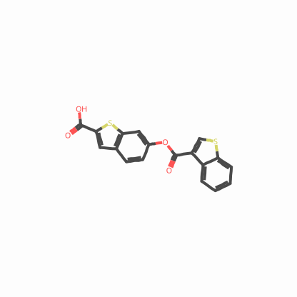 O=C(O)c1cc2ccc(OC(=O)c3csc4ccccc34)cc2s1